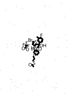 CC(=O)SCCC[N+]12CCC(CC1)[C@@H](NC(=O)C(O)(c1ccc(F)c(C)c1)c1ccc(Br)s1)C2.O=C([O-])C(F)(F)F